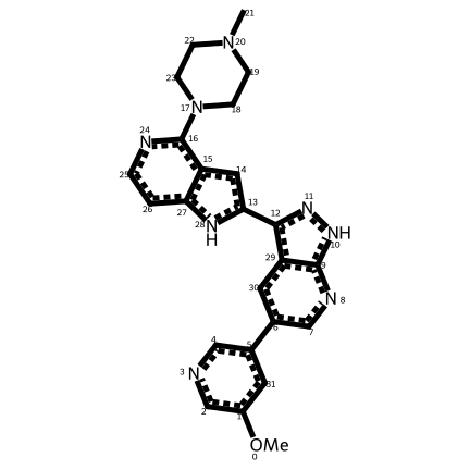 COc1cncc(-c2cnc3[nH]nc(-c4cc5c(N6CCN(C)CC6)nccc5[nH]4)c3c2)c1